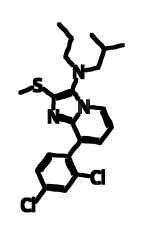 CCCN(CC(C)C)c1c(SC)nc2c(-c3ccc(Cl)cc3Cl)cccn12